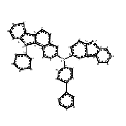 c1ccc(-c2ccc(N(c3ccc4c(ccc5c6ccccc6n(-c6ccccc6)c45)c3)c3ccc4sc5ccccc5c4c3)cc2)cc1